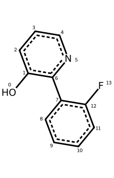 Oc1cccnc1-c1ccccc1F